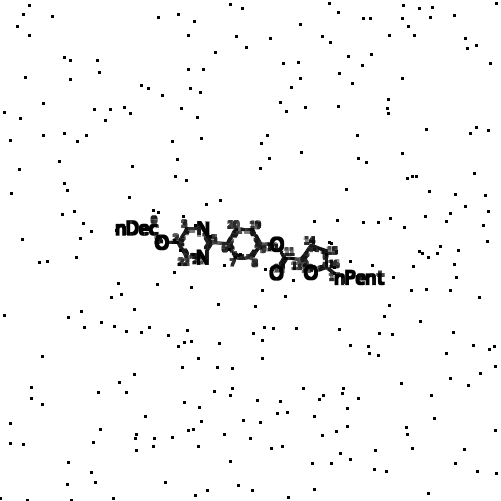 CCCCCCCCCCOc1cnc(-c2ccc(OC(=O)c3ccc(CCCCC)o3)cc2)nc1